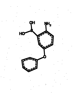 Nc1ccc(Oc2ccccc2)cc1B(O)O